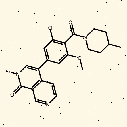 COc1cc(-c2cn(C)c(=O)c3cnccc23)cc(Cl)c1C(=O)N1CCC(C)CC1